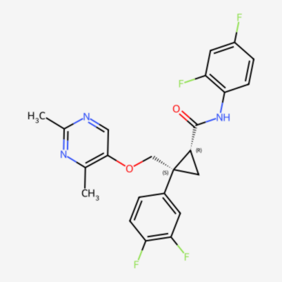 Cc1ncc(OC[C@@]2(c3ccc(F)c(F)c3)C[C@H]2C(=O)Nc2ccc(F)cc2F)c(C)n1